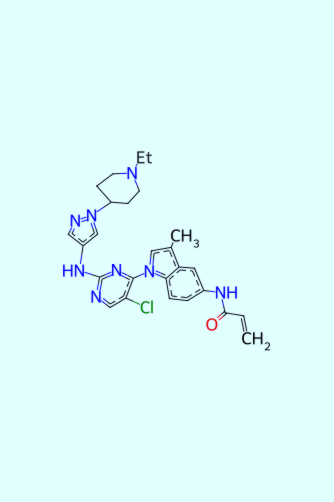 C=CC(=O)Nc1ccc2c(c1)c(C)cn2-c1nc(Nc2cnn(C3CCN(CC)CC3)c2)ncc1Cl